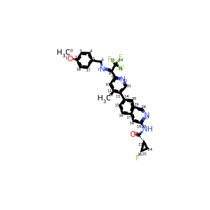 COc1ccc(C/N=C(/c2cc(C)c(-c3ccc4cc(NC(=O)[C@@H]5C[C@@H]5F)ncc4c3)cn2)C(F)(F)F)cc1